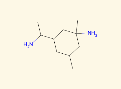 CC1CC(C(C)N)CC(C)(N)C1